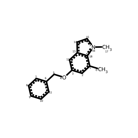 Cc1cc(OCc2ccccc2)cc2ccn(C)c12